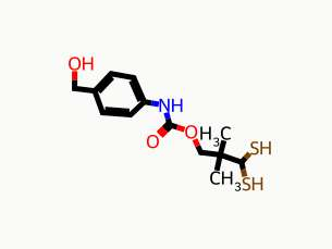 CC(C)(COC(=O)Nc1ccc(CO)cc1)C(S)S